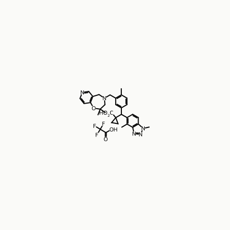 Cc1ccc(C(c2ccc3c(nnn3C)c2C)C2(C(=O)O)CC2)cc1CN1Cc2cnccc2OC(C)(C)C1.O=C(O)C(F)(F)F